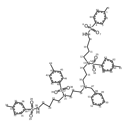 Cc1ccc(S(=O)(=O)NCCCCN(CCCN(CCCN(CCCCNS(=O)(=O)c2ccc(C)cc2)S(=O)(=O)c2ccc(C)cc2)Cc2ccccc2)S(=O)(=O)c2ccc(C)cc2)cc1